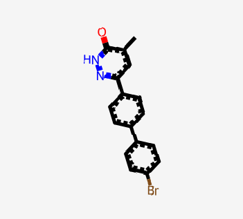 Cc1cc(-c2ccc(-c3ccc(Br)cc3)cc2)n[nH]c1=O